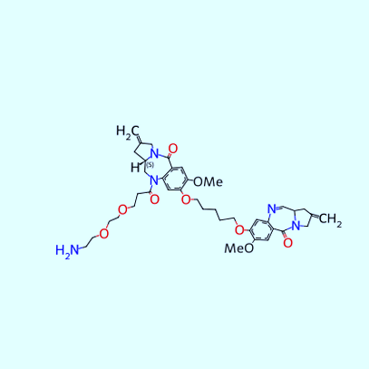 C=C1CC2C=Nc3cc(OCCCCCOc4cc5c(cc4OC)C(=O)N4CC(=C)C[C@H]4CN5C(=O)CCOCCOCCN)c(OC)cc3C(=O)N2C1